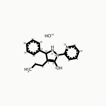 CCCC1=C(O)N(c2ccccn2)NC1c1ccccc1.Cl